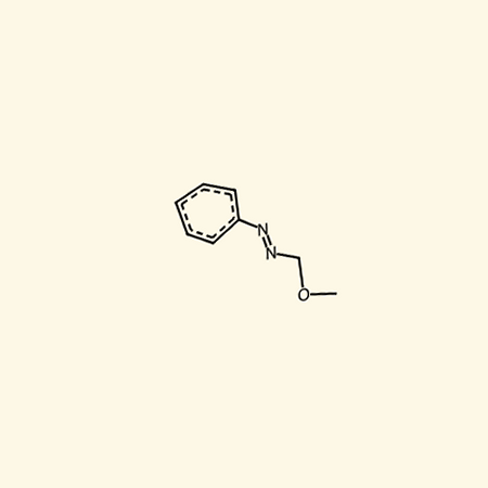 COCN=Nc1ccccc1